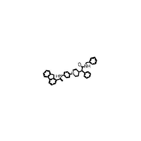 C=C(Nc1ccc(N2CCC(C(C(=O)NCc3ccccc3)c3ccccc3)CC2)cc1)c1cccc2c1Cc1ccccc1-2